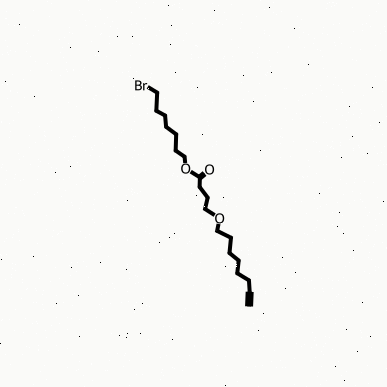 C#CCCCCCCOCCCC(=O)OCCCCCCCBr